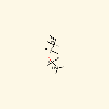 C=C[C@@](C)(CC)[Si](C)(C)O[C@](C)(CC)[SiH](C)C